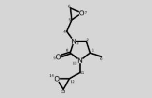 CC1CN(CC2CO2)C(=O)N1CC1CO1